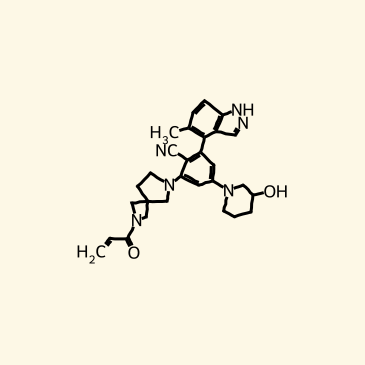 C=CC(=O)N1CC2(CCN(c3cc(N4CCCC(O)C4)cc(-c4c(C)ccc5[nH]ncc45)c3C#N)C2)C1